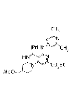 CCOC(=O)c1cc(N2CCC(COC)CC2)c(C(=N)C(C)C)c(Nc2cc(C)nc(C)c2)n1